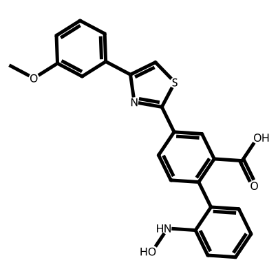 COc1cccc(-c2csc(-c3ccc(-c4ccccc4NO)c(C(=O)O)c3)n2)c1